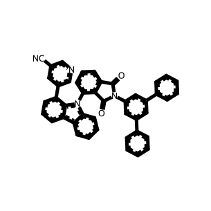 N#Cc1cncc(-c2cccc3c4ccccc4n(-c4cccc5c4C(=O)N(c4cc(-c6ccccc6)cc(-c6ccccc6)c4)C5=O)c23)c1